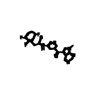 Cn1cc(C(=O)c2cncc(NC(=O)Cc3c(F)ccc(F)c3F)c2)c2cncnc21